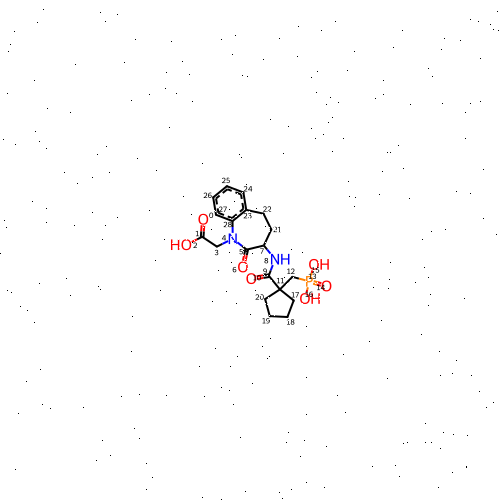 O=C(O)CN1C(=O)C(NC(=O)C2(CP(=O)(O)O)CCCC2)CCc2ccccc21